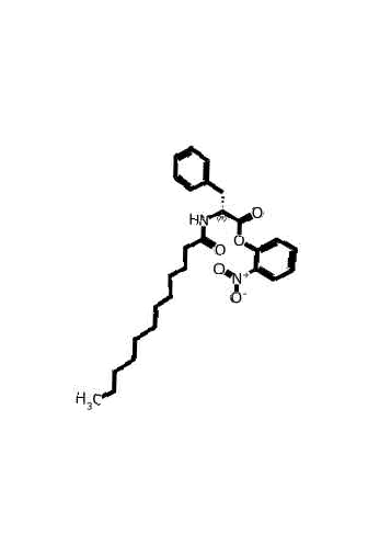 CCCCCCCCCCCC(=O)N[C@H](Cc1ccccc1)C(=O)Oc1ccccc1[N+](=O)[O-]